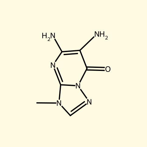 Cn1cnn2c(=O)c(N)c(N)nc12